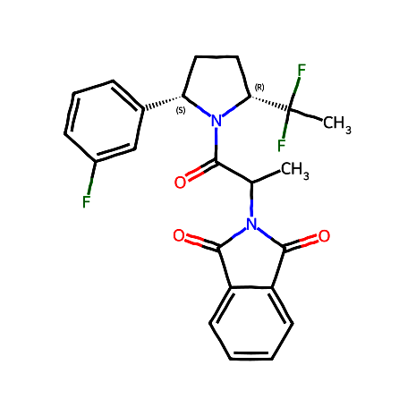 CC(C(=O)N1[C@H](c2cccc(F)c2)CC[C@@H]1C(C)(F)F)N1C(=O)c2ccccc2C1=O